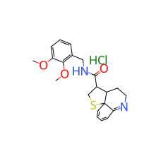 COc1cccc(CNC(=O)C2CSC34C=CC=CC3=NCCC24)c1OC.Cl